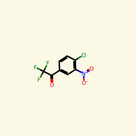 O=C(c1ccc(Cl)c([N+](=O)[O-])c1)C(F)(F)F